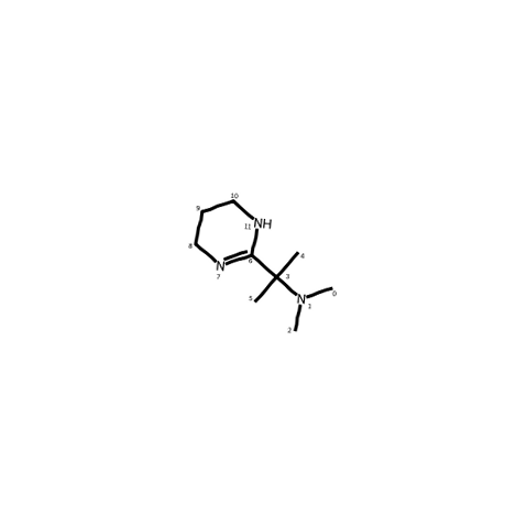 CN(C)C(C)(C)C1=NCCCN1